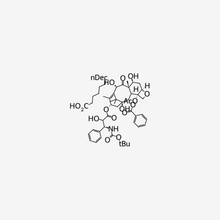 CC(=O)O[C@@]12CO[C@@H]1C[C@H](O)[C@@]1(C)C(=O)[C@H](O)C3=C(C)[C@@H](OC(=O)C(O)[C@@H](NC(=O)OC(C)(C)C)c4ccccc4)C[C@@](O)([C@@H](OC(=O)c4ccccc4)[C@H]21)C3(C)C.CCCCCCCCCCCCCCCC(=O)O